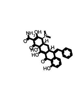 CN(C)[C@H]1C(O)=C(C(N)=O)C(=O)[C@]2(O)C(O)=C3C(=O)c4c(O)cccc4/C(=C\c4ccccc4)[C@@H]3C[C@H]12